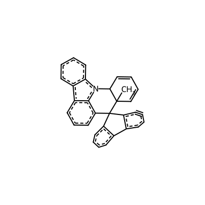 CC12C=CC=CC1n1c3ccccc3c3cccc(c31)C21c2c#cccc2-c2ccccc21